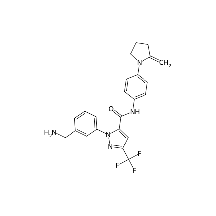 C=C1CCCN1c1ccc(NC(=O)c2cc(C(F)(F)F)nn2-c2cccc(CN)c2)cc1